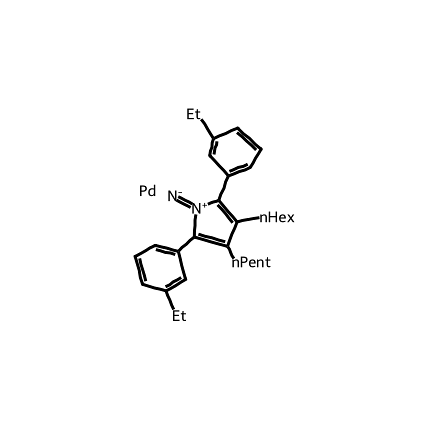 CCCCCCC1=C(c2cccc(CC)c2)[N+](=[N-])C(c2cccc(CC)c2)=C1CCCCC.[Pd]